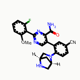 COc1cccc(F)c1-c1ncc(-c2cc(C#N)ccc2N2C[C@H]3C[C@@H]2CN3)c(C(N)=O)n1